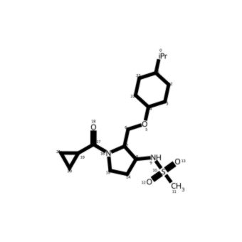 CC(C)C1CCC(OCC2C(NS(C)(=O)=O)CCN2C(=O)C2CC2)CC1